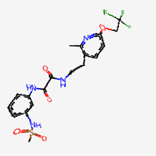 Cc1nc(OCC(F)(F)F)ccc1CCNC(=O)C(=O)Nc1cccc(NS(C)(=O)=O)c1